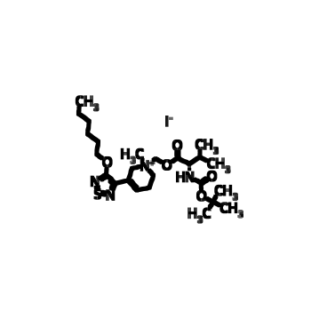 CCCCCCOc1nsnc1C1=CCC[N+](C)(COC(=O)[C@@H](NC(=O)OC(C)(C)C)C(C)C)C1.[I-]